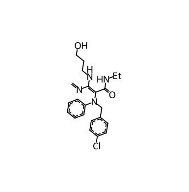 C=N/C(NCCCO)=C(/C(=O)NCC)N(Cc1ccc(Cl)cc1)c1ccccc1